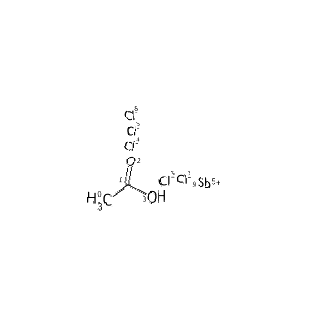 CC(=O)O.[Cl-].[Cl-].[Cl-].[Cl-].[Cl-].[Sb+5]